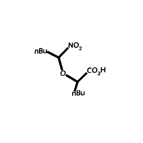 CCCCC(OC(CCCC)[N+](=O)[O-])C(=O)O